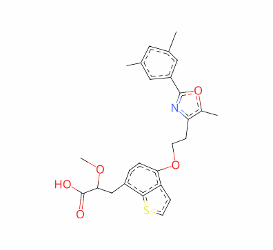 COC(Cc1ccc(OCCc2nc(-c3cc(C)cc(C)c3)oc2C)c2ccsc12)C(=O)O